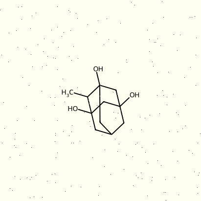 CC1C2(O)CC3CC(O)(C2)CC1(O)C3